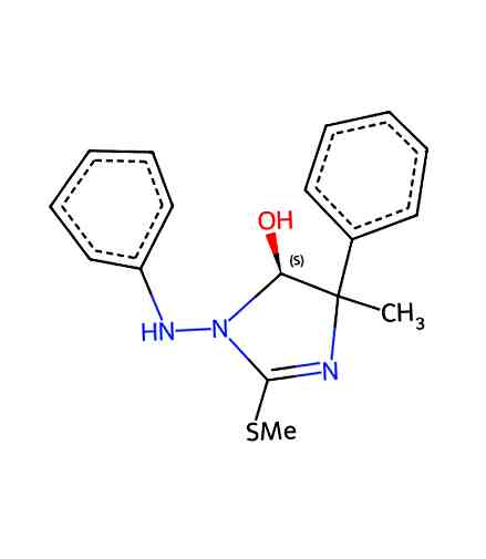 CSC1=NC(C)(c2ccccc2)[C@H](O)N1Nc1ccccc1